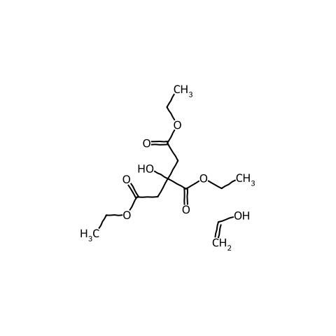 C=CO.CCOC(=O)CC(O)(CC(=O)OCC)C(=O)OCC